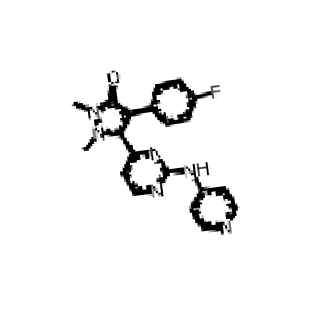 Cn1c(-c2ccnc(Nc3ccncc3)n2)c(-c2ccc(F)cc2)c(=O)n1C